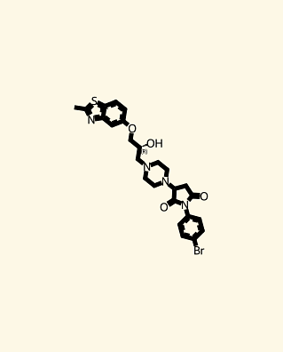 Cc1nc2cc(OC[C@H](O)CN3CCN(C4CC(=O)N(c5ccc(Br)cc5)C4=O)CC3)ccc2s1